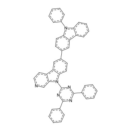 c1ccc(-c2nc(-c3ccccc3)nc(-n3c4ccc(-c5ccc6c(c5)c5ccccc5n6-c5ccccc5)cc4c4ccncc43)n2)cc1